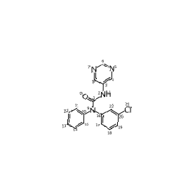 O=C(Nc1cncnc1)N(c1ccccc1)c1cccc(Cl)c1